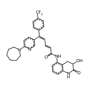 O=C(/C=C/C=C(/c1ccc(C(F)(F)F)cc1)c1ccc(N2CCCCCC2)nc1)Nc1cccc2c1CC(O)C(=O)N2